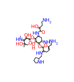 CN[C@@H]1[C@@H](O)[C@@H](O[C@@H]2[C@@H](O)[C@H](O[C@H]3OC(CN)=CC[C@H]3NCC3CCCN3)[C@@H](N)C[C@H]2NC(=O)[C@@H](O)CCN)OC[C@]1(C)O